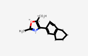 Cc1nc(-c2ccc3c(c2)CCCC3)c(C(=O)O)o1